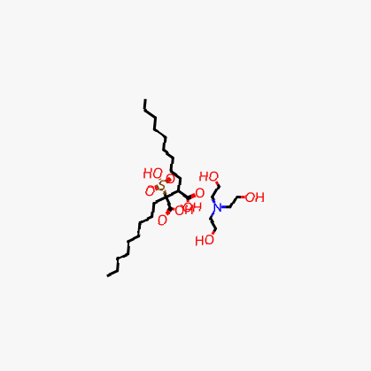 CCCCCCCCCC(C(=O)O)C(CCCCCCCCC)(C(=O)O)S(=O)(=O)O.OCCN(CCO)CCO